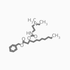 CCCCCCCCC(CC(=O)OCc1ccccc1)OC(=O)NCCN(C)CC